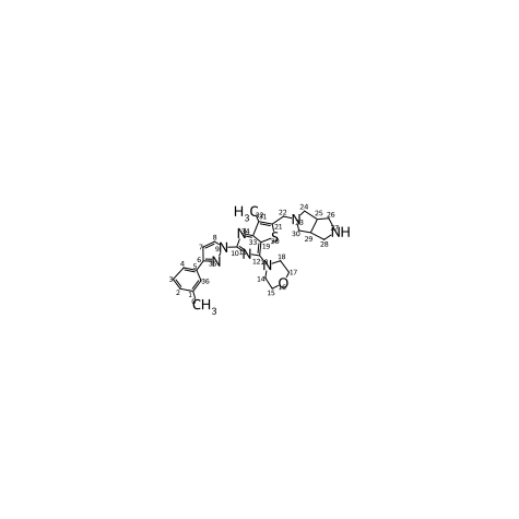 Cc1cccc(-c2ccn(-c3nc(N4CCOCC4)c4sc(CN5CC6CNCC6C5)c(C)c4n3)n2)c1